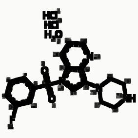 Cl.Cl.O.O=S(=O)(c1cccc(F)c1)n1cc(N2CCNCC2)c2ncccc21